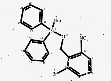 CC(C)(C)[Si](OCc1c(Br)cccc1[N+](=O)[O-])(c1ccccc1)c1ccccc1